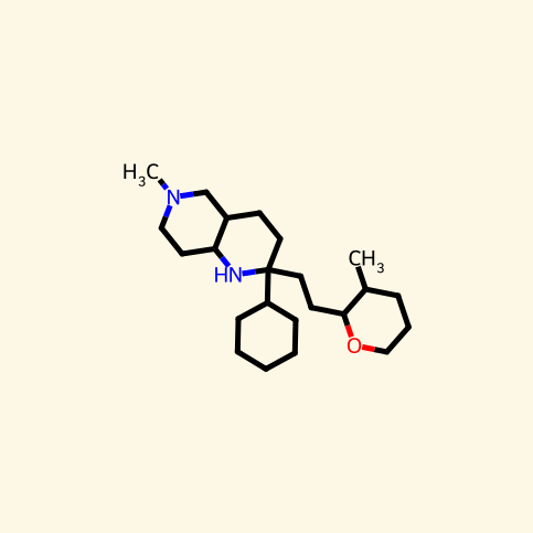 CC1CCCOC1CCC1(C2CCCCC2)CCC2CN(C)CCC2N1